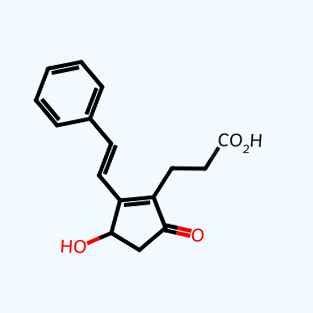 O=C(O)CCC1=C(C=Cc2ccccc2)C(O)CC1=O